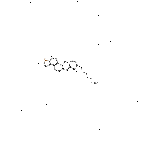 CCCCCCCCCCCCCCCc1ccc2cc3c(ccc4c5ccsc5ccc34)cc2c1